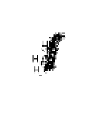 Cc1c(Oc2c(F)ccc(NS(=O)(=O)N3CC[C@@H](F)C3)c2Cl)ccc2ncn(C)c(=O)c12